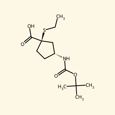 CCS[C@]1(C(=O)O)CC[C@@H](NC(=O)OC(C)(C)C)C1